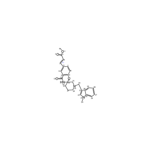 COC(=O)/C=C/c1ccc2c(c1)C(=O)NC1(CCCN(Cc3cn(C)c4ccccc34)C1)O2